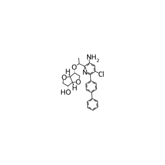 CC(O[C@@H]1CO[C@H]2[C@@H]1OC[C@H]2O)c1nc(-c2ccc(-c3ccccc3)cc2)c(Cl)cc1N